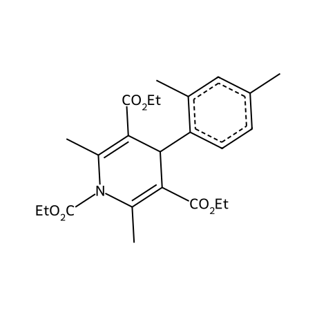 CCOC(=O)C1=C(C)N(C(=O)OCC)C(C)=C(C(=O)OCC)C1c1ccc(C)cc1C